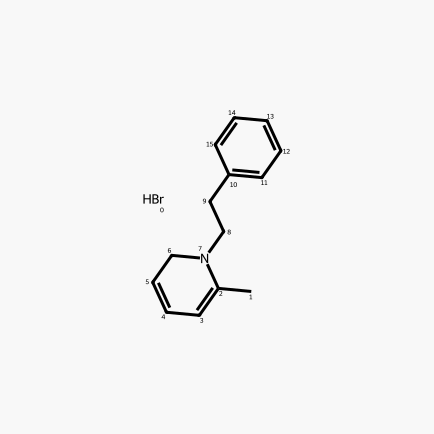 Br.CC1=CC=CCN1CCc1ccccc1